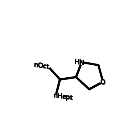 CCCCCCCCC(CCCCCCC)C1COCN1